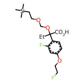 CCC(OCOCC[Si](C)(C)C)(C(=O)O)c1ccc(OCCF)cc1F